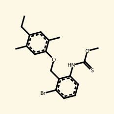 CCc1cc(C)c(OCc2c(Br)cccc2NC(=S)OC)cc1C